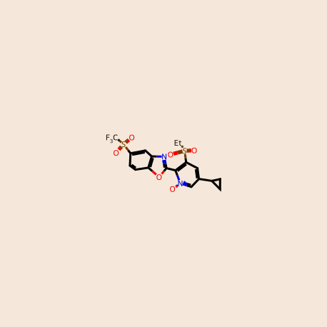 CCS(=O)(=O)c1cc(C2CC2)c[n+]([O-])c1-c1nc2cc(S(=O)(=O)C(F)(F)F)ccc2o1